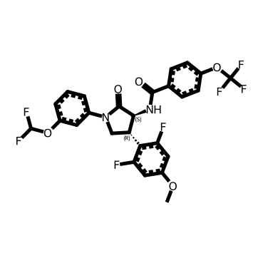 COc1cc(F)c([C@@H]2CN(c3cccc(OC(F)F)c3)C(=O)[C@H]2NC(=O)c2ccc(OC(F)(F)F)cc2)c(F)c1